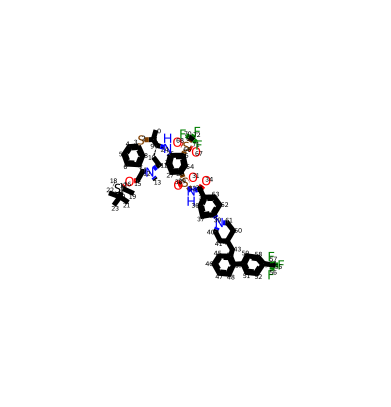 CC(Sc1ccccc1)[C@@H](CCN(C)CCO[Si](C)(C)C(C)(C)C)Nc1ccc(S(=O)(=O)NC(=O)c2ccc(N3CCC(Cc4ccccc4-c4ccc(C(F)(F)F)cc4)CC3)cc2)cc1S(=O)(=O)C(F)(F)F